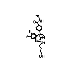 O=C(NC1CC1)c1ccc(-c2cnc3c(NCCCCO)nc4cc(F)c(F)cc4n23)cc1